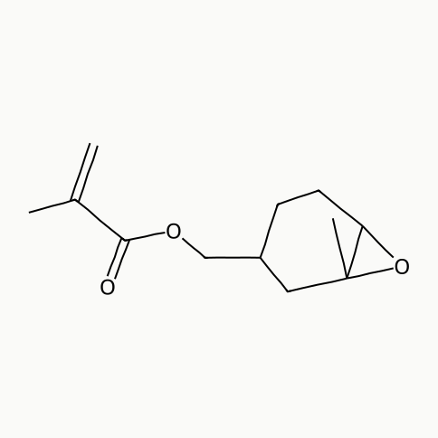 C=C(C)C(=O)OCC1CCC2OC2(C)C1